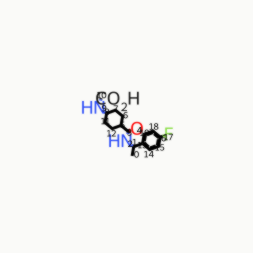 CC(NC(=O)C1CCC(NC(=O)O)CC1)c1ccc(F)cc1